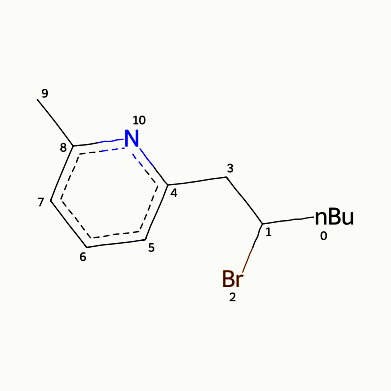 CCCCC(Br)Cc1cccc(C)n1